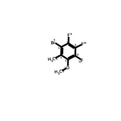 COc1c(C)c(Br)c(F)c(F)c1F